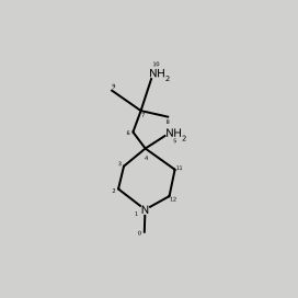 CN1CCC(N)(CC(C)(C)N)CC1